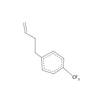 C=CCCc1ccc(C(F)(F)F)cc1